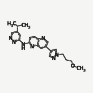 COCCCn1cc(-c2cnc3ccc(Nc4cc(C(C)C)cnn4)nc3c2)cn1